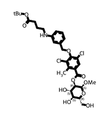 CO[C@H]1O[C@H](CO)[C@@H](O)[C@H](O)[C@H]1OC(=O)c1cc(Cl)c(OCc2cccc(NCCCC(=O)OC(C)(C)C)c2)c(Cl)c1C